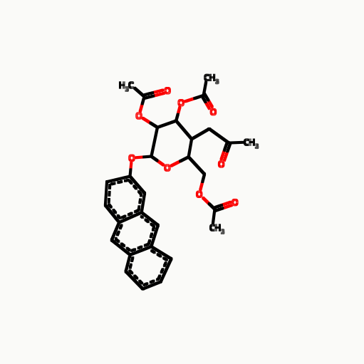 CC(=O)CC1C(COC(C)=O)OC(Oc2ccc3cc4ccccc4cc3c2)C(OC(C)=O)C1OC(C)=O